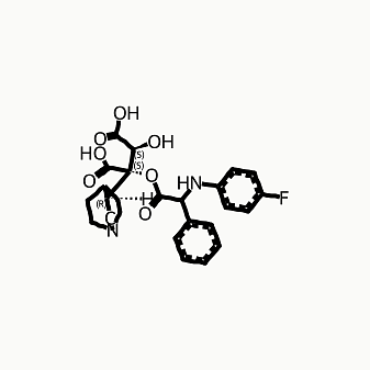 O=C(O[C@](C(=O)O)([C@H](O)C(=O)O)[C@H]1CN2CCC1CC2)C(Nc1ccc(F)cc1)c1ccccc1